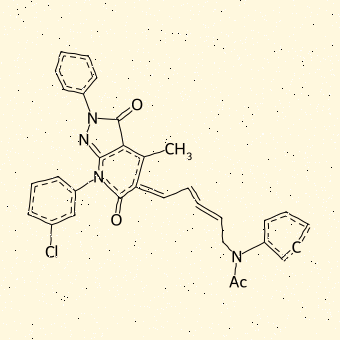 CC(=O)N(CC=C=C/C=c1\c(C)c2c(n(-c3cccc(Cl)c3)c1=O)=NN(c1ccccc1)C2=O)c1ccccc1